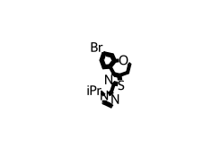 CC(C)n1ccnc1-c1nc2c(s1)CCOc1cc(Br)ccc1-2